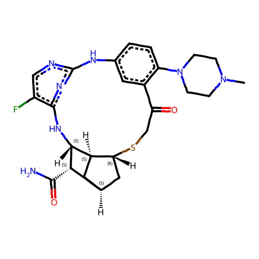 CN1CCN(c2ccc3cc2C(=O)CS[C@@H]2C[C@@H]4C[C@H]2[C@@H](Nc2nc(ncc2F)N3)[C@H]4C(N)=O)CC1